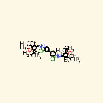 CCC(C)(C)C1=CC(=C/N=N/c2ccc(-c3ccc(/N=N/C=C4C=C(C(C)(C)CC)C(=O)C(C(C)(C)CC)=C4)c(Cl)c3)cc2Cl)C=C(C(C)(C)CC)C1=O